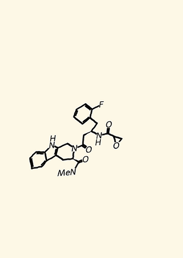 CNC(=O)[C@H]1Cc2c([nH]c3ccccc23)CN1C(=O)C[C@@H](Cc1ccccc1F)NC(=O)C1CO1